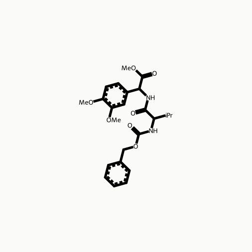 COC(=O)C(NC(=O)C(NC(=O)OCc1ccccc1)C(C)C)c1ccc(OC)c(OC)c1